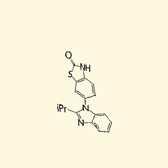 CC(C)c1nc2ccccc2n1-c1ccc2[nH]c(=O)sc2c1